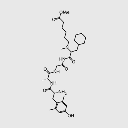 COC(=O)CCCCCN(C)[C@@H](CC1CCCCC1)C(=O)NC(=O)CNC(=O)[C@@H](C)NC(=O)[C@H](N)Cc1c(C)cc(O)cc1C